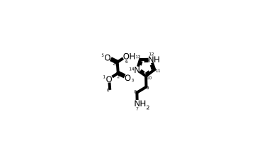 COC(=O)C(=O)O.NCCc1c[nH]cn1